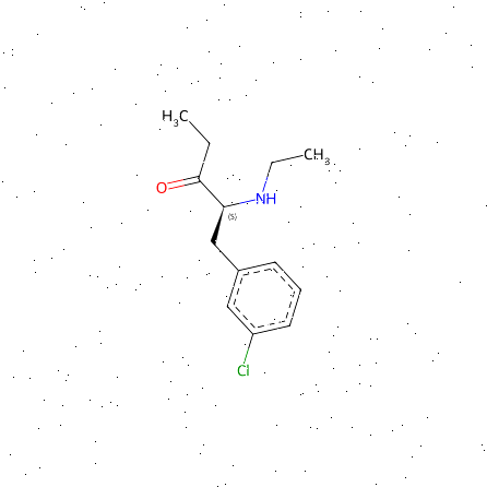 CCN[C@@H](Cc1cccc(Cl)c1)C(=O)CC